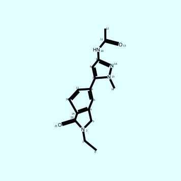 CCN1Cc2cc(-c3cc(NC(C)=O)nn3C)ccc2C1=O